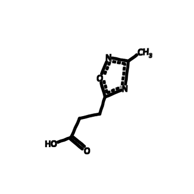 Cc1noc(CCC(=O)O)n1